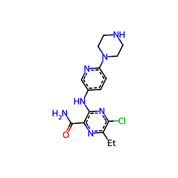 CCc1nc(C(N)=O)c(Nc2ccc(N3CCNCC3)nc2)nc1Cl